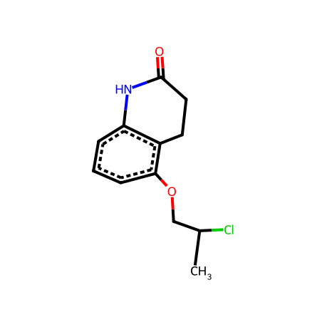 CC(Cl)COc1cccc2c1CCC(=O)N2